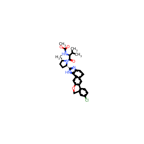 COC(=O)NC(C(=O)N1[C@@H](C)CC[C@H]1c1nc2ccc3cc4c(cc3c2[nH]1)OCc1cc(Cl)ccc1-4)C(C)C